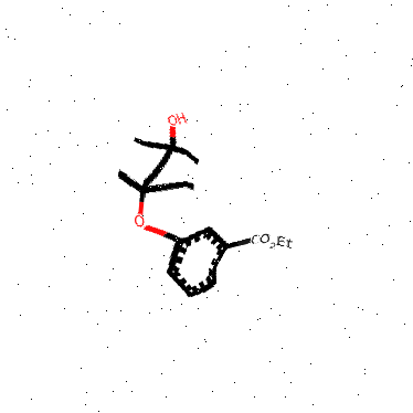 CCOC(=O)c1cccc(OC(C)(C)C(C)(C)O)c1